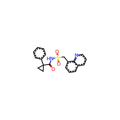 O=C(NS(=O)(=O)Cc1cccc2cccnc12)C1(c2ccccc2)CC1